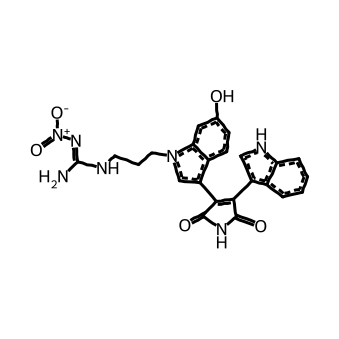 NC(=N[N+](=O)[O-])NCCCn1cc(C2=C(c3c[nH]c4ccccc34)C(=O)NC2=O)c2ccc(O)cc21